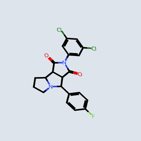 O=C1C2C(C(=O)N1c1cc(Cl)cc(Cl)c1)C(c1ccc(F)cc1)N1CCCC21